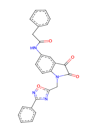 O=C(Cc1ccccc1)Nc1ccc2c(c1)C(=O)C(=O)N2Cc1nc(-c2ccccc2)no1